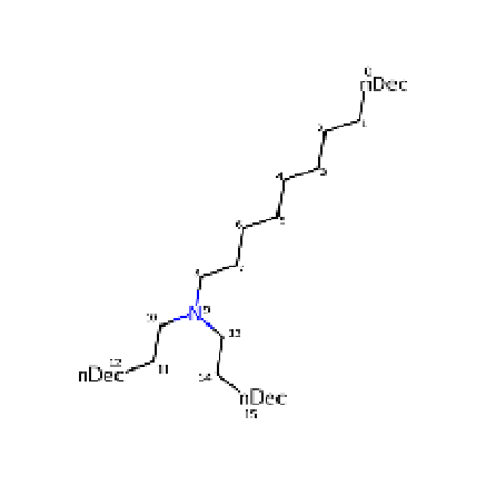 CCCCCCCCCCCCCCCCCCN(CCCCCCCCCCCC)CCCCCCCCCCCC